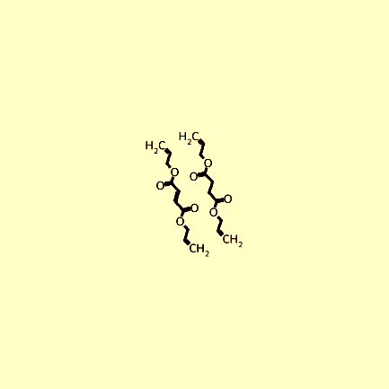 C=CCOC(=O)C=CC(=O)OCC=C.C=CCOC(=O)CCC(=O)OCC=C